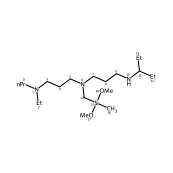 CCCN(CC)CCCN(CCCNC(CC)CC)C[Si](C)(OC)OC